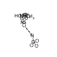 C[C@@](CCc1nc2ccc(C#CC#CC3CN(CCCOC(c4ccccc4)(c4ccccc4)c4ccccc4)C3)cc2s1)(C(=O)NO)S(C)(=O)=O